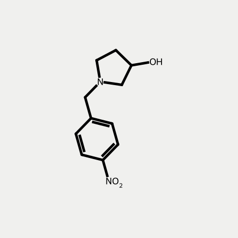 O=[N+]([O-])c1ccc(CN2CCC(O)C2)cc1